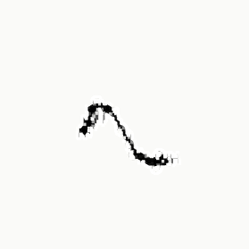 C[C@@H](NC(=O)c1cccc(NCc2nnc(-c3ccncn3)n2C)c1)c1ccc(OCCCCCCOCCOCCOCCCC(=O)N2CCN(c3ccc4c(c3)CN(C3CCC(=O)NC3=O)C4=O)CC2)cc1